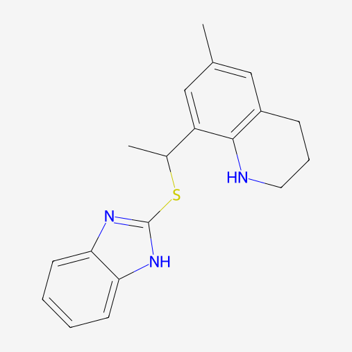 Cc1cc2c(c(C(C)Sc3nc4ccccc4[nH]3)c1)NCCC2